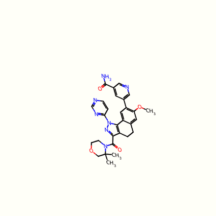 COc1cc2c(cc1-c1cncc(C(N)=O)c1)-c1c(c(C(=O)N3CCOCC3(C)C)nn1-c1ccncn1)CC2